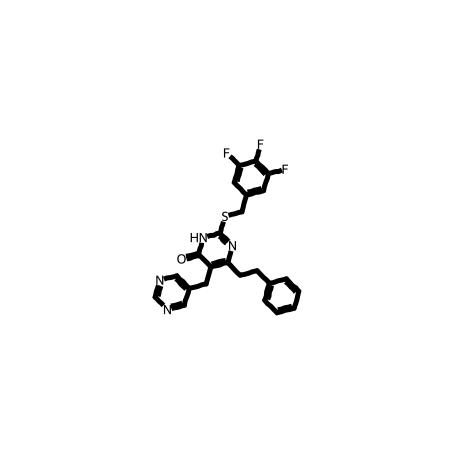 O=c1[nH]c(SCc2cc(F)c(F)c(F)c2)nc(CCc2ccccc2)c1Cc1cncnc1